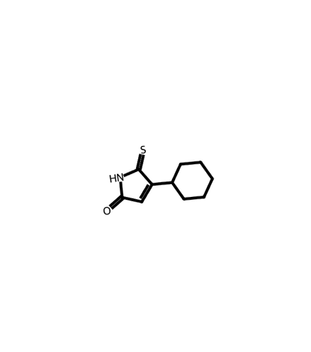 O=C1C=C(C2CCCCC2)C(=S)N1